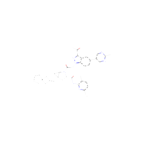 CC(=O)c1nn(CC(=O)N2C3C[C@]3(CC3CC4(CCCC4)C3)C[C@H]2C(=O)Nc2nc(Br)ccc2C)c2ccc(-c3cnc(C)nc3)cc12